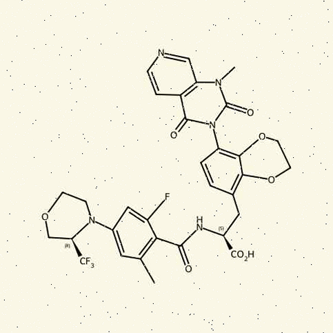 Cc1cc(N2CCOC[C@@H]2C(F)(F)F)cc(F)c1C(=O)N[C@@H](Cc1ccc(-n2c(=O)c3ccncc3n(C)c2=O)c2c1OCCO2)C(=O)O